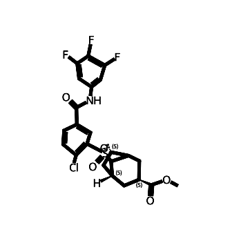 COC(=O)[C@@H]1CC2C(S(=O)(=O)c3cc(C(=O)Nc4cc(F)c(F)c(F)c4)ccc3Cl)[C@H](C1)C[C@@H]2C